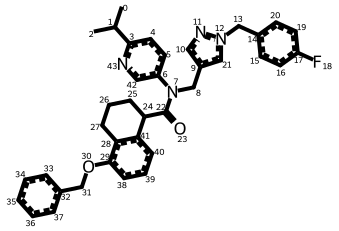 CC(C)c1ccc(N(Cc2cnn(Cc3ccc(F)cc3)c2)C(=O)C2CCCc3c(OCc4ccccc4)cccc32)cn1